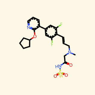 CN(C/C=C/c1c(F)cc(-c2cccnc2OC2CCCC2)cc1F)CC(=O)N[SH](=O)=O